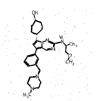 COC[C@H](C)Nc1ncc2c(-c3cccc(CN4CCN(C)CC4)c3)cc([C@H]3CC[C@H](O)CC3)n2n1